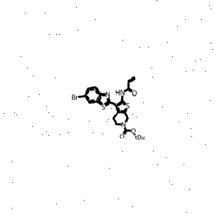 C=CC(=O)Nc1sc2c(c1-c1nc3ccc(Br)cc3s1)CCN(C(=O)OC(C)(C)C)C2